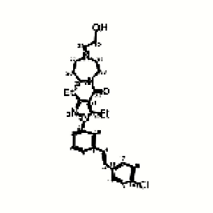 CCc1nn(-c2cccc(C=Cc3ccc(Cl)cc3)c2)c(CC)c1C(=O)N1CCCN(CCO)CC1